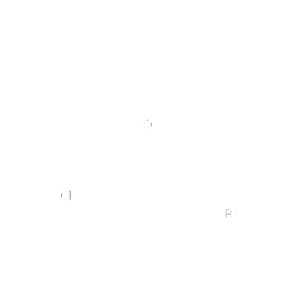 CCOc1cc(Br)ccc1CCl